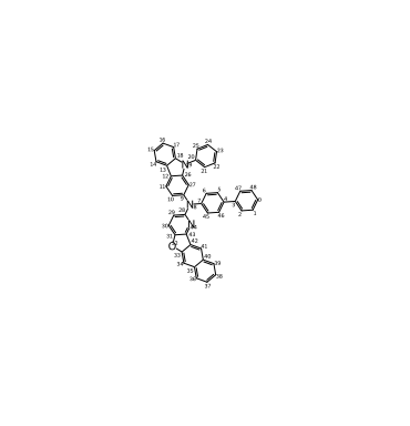 c1ccc(-c2ccc(N(c3ccc4c5ccccc5n(-c5ccccc5)c4c3)c3ccc4oc5cc6ccccc6cc5c4n3)cc2)cc1